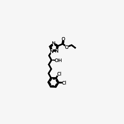 CCOC(=O)c1ncn(C[C@@H](O)CCCc2cccc(Cl)c2Cl)n1